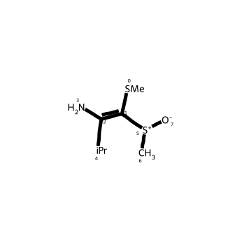 CSC(=C(N)C(C)C)[S+](C)[O-]